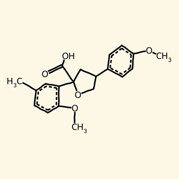 COc1ccc(C2COC(C(=O)O)(c3cc(C)ccc3OC)C2)cc1